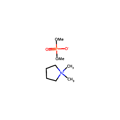 COP(=O)([O-])OC.C[N+]1(C)CCCC1